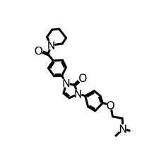 CN(C)CCOc1ccc(-n2ccn(-c3ccc(C(=O)N4CCCCC4)cc3)c2=O)cc1